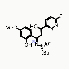 COc1ccc(/C(CC(O)c2ccc(Cl)nn2)=N/[S@@+]([O-])C(C)(C)C)c(O)c1